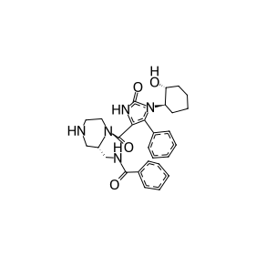 O=C(NC[C@@H]1CNCCN1C(=O)c1[nH]c(=O)n([C@@H]2CCCC[C@H]2O)c1-c1ccccc1)c1ccccc1